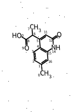 Cc1ccc2c(C(C)C(=O)O)cc(=O)[nH]c2c1